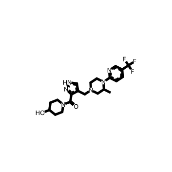 CC1CN(Cc2c[nH]nc2C(=O)N2CCC(O)CC2)CCN1c1ccc(C(F)(F)F)cn1